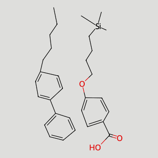 CCCCCc1ccc(-c2ccccc2)cc1.C[Si](C)(C)CCCCOc1ccc(C(=O)O)cc1